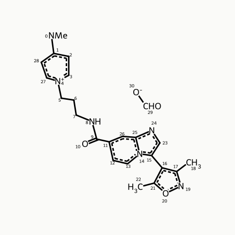 CNc1cc[n+](CCCNC(=O)c2ccn3c(-c4c(C)noc4C)cnc3c2)cc1.O=C[O-]